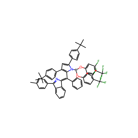 Cc1ccc(C2=N/C(=C(/c3ccccc3)c3c(-c4ccc(C(C)(C)C)cc4)cc(-c4ccc(C(C)(C)C)cc4)n3B(Oc3ccc(C(F)(F)F)c(F)c3)Oc3ccc(C(F)(F)F)c(F)c3)c3ccccc32)cc1